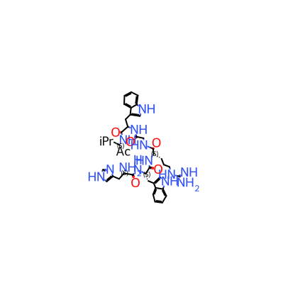 CC(=O)[C@@H](NC(=O)C(Cc1c[nH]c2ccccc12)NC(=O)CNC(=O)[C@H](CCCNC(=N)N)NC(=O)[C@H](Cc1c[nH]c2ccccc12)NC(=O)[C@@H](N)Cc1c[nH]cn1)C(C)C